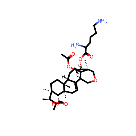 CC(=O)O[C@@H]1C[C@]23COC[C@@](C)([C@@H]2CC[C@H]2C3=CC[C@@]3(C)[C@H](C(=O)O)[C@@](C)([C@H](C)C(C)C)CC[C@]23C)[C@H]1OC(=O)C(N)CCCCN